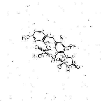 Cc1ccc(Cc2cc(O)c(N3CC(=O)NS3(=O)=O)c(F)c2)c(OS(C)(=O)=O)c1.[K]